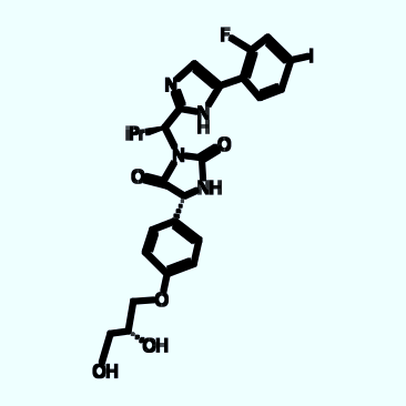 CC(C)[C@@H](c1ncc(-c2ccc(I)cc2F)[nH]1)N1C(=O)N[C@H](c2ccc(OC[C@H](O)CO)cc2)C1=O